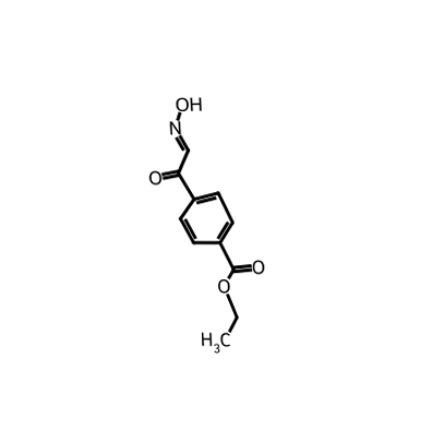 CCOC(=O)c1ccc(C(=O)/C=N/O)cc1